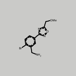 COCc1nc(-c2ccc(Br)c(CN)c2)no1